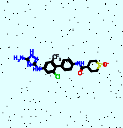 Nc1nc(Nc2cc(Cl)c(-c3ccc(NC(=O)C4CC[S+]([O-])CC4)cc3)c(C(F)(F)F)c2)n[nH]1